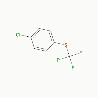 FC(F)(F)Sc1c[c]c(Cl)cc1